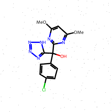 COc1cc(OC)nc(C(O)(c2ccc(Cl)cc2)c2nnn[nH]2)n1